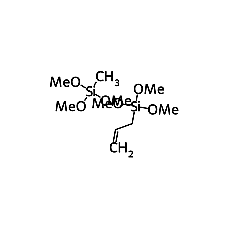 C=CC[Si](OC)(OC)OC.CO[Si](C)(OC)OC